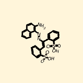 Nc1ccc2ccccc2c1N=NC(=Cc1ccccc1S(=O)(=O)O)c1ccccc1S(=O)(=O)O